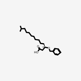 CC(C)CCCCCCCCC[C@H](CC(=O)O)OCc1ccccc1